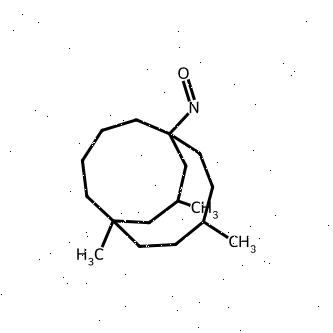 CC1CCC2(C)CCCCC(N=O)(CC1)CC(C)C2